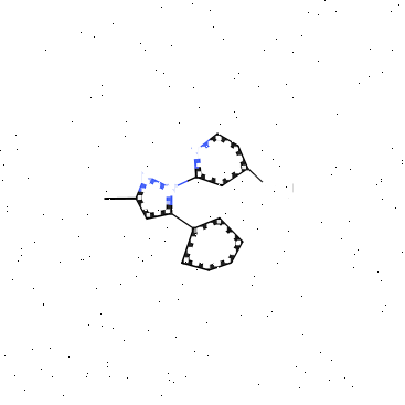 Cc1cc(-c2ccccc2)n(-c2cc(C(=O)O)ccn2)n1